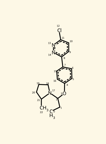 CCC(Oc1ccc(-c2ccc(Cl)nn2)cc1)N1CCCC1C